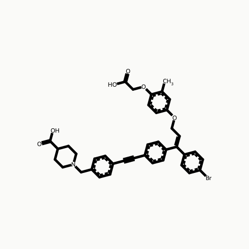 Cc1cc(OC/C=C(/c2ccc(Br)cc2)c2ccc(C#Cc3ccc(CN4CCC(C(=O)O)CC4)cc3)cc2)ccc1OCC(=O)O